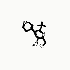 COc1cc(C2=CCN=CC2)c(C(C)(C)C)nc1CCl